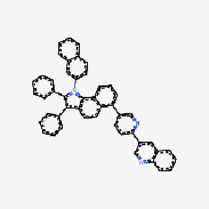 c1ccc(-c2c(-c3ccccc3)n(-c3ccc4ccccc4c3)c3c2ccc2c(-c4ccc(-c5cnc6ccccc6c5)nc4)cccc23)cc1